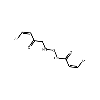 CC(=O)/C=C\C(=O)CNSNC(=O)/C=C\C(C)=O